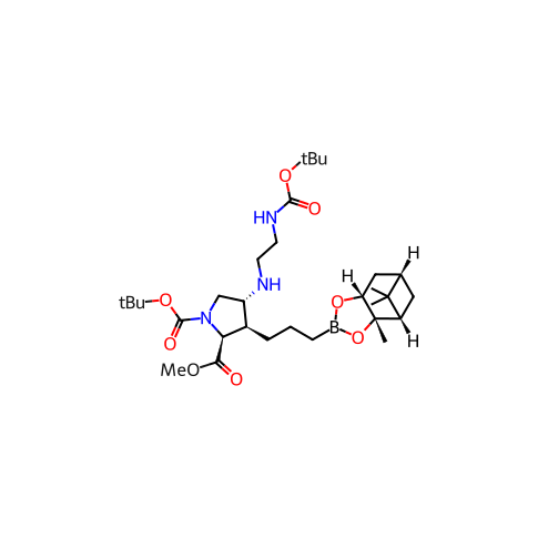 COC(=O)[C@@H]1[C@H](CCCB2O[C@@H]3C[C@@H]4C[C@@H](C4(C)C)[C@]3(C)O2)[C@@H](NCCNC(=O)OC(C)(C)C)CN1C(=O)OC(C)(C)C